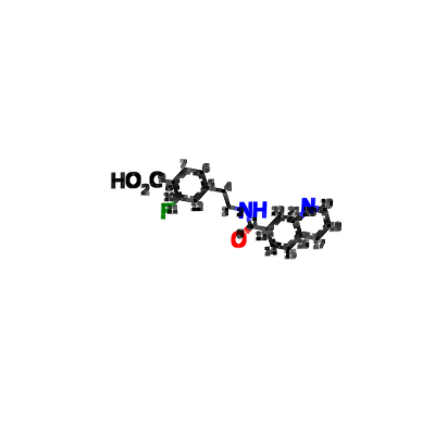 O=C(NCCc1ccc(C(=O)O)c(F)c1)c1ccc2cccnc2c1